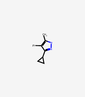 CC1=C(C(C)C)C(C2CC2)=N[N]1